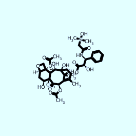 CC(=O)O[C@H]1C(=O)[C@@]2(C)[C@H]([C@H](O)[C@]3(O)C[C@H](OC(=O)[C@H](O)[C@@H](NC(=O)C[Si](C)(C)O)c4ccccc4)C(C)=C1C3(C)C)[C@]1(OC(C)=O)CO[C@@H]1C[C@@H]2O